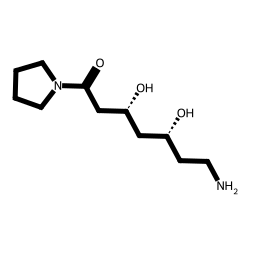 NCC[C@@H](O)C[C@@H](O)CC(=O)N1CCCC1